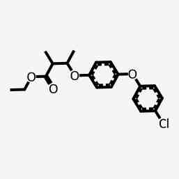 CCOC(=O)C(C)C(C)Oc1ccc(Oc2ccc(Cl)cc2)cc1